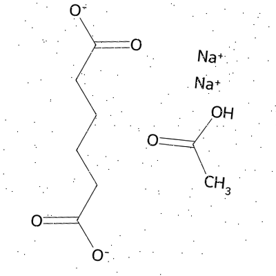 CC(=O)O.O=C([O-])CCCCC(=O)[O-].[Na+].[Na+]